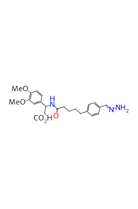 COc1ccc(C(CC(=O)O)NC(=O)CCCCc2ccc(C=NN)cc2)cc1OC